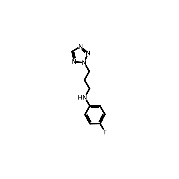 Fc1ccc(NCCCn2ncnn2)cc1